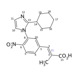 C/C(=C\c1ccc([N+](=O)[O-])c(-n2ccnc2C2CCCCC2)c1)C(=O)O